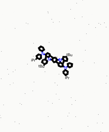 CC(C)c1ccc(N(c2ccccc2)c2ccc3c4cc5c(cc4n4c6cc(C(C)(C)C)ccc6c2c34)c2ccc(N(c3ccccc3)c3ccc(C(C)C)cc3)c3c4ccc(C(C)(C)C)cc4n5c23)cc1